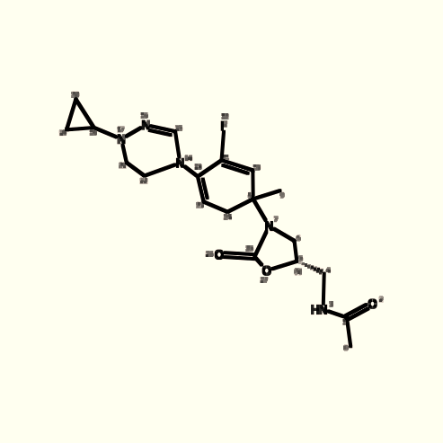 CC(=O)NC[C@H]1CN(C2(C)C=C(F)C(N3C=NN(C4CC4)CC3)=CC2)C(=O)O1